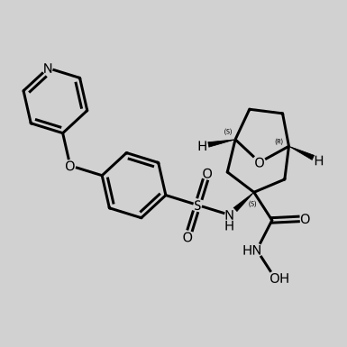 O=C(NO)[C@@]1(NS(=O)(=O)c2ccc(Oc3ccncc3)cc2)C[C@H]2CC[C@@H](C1)O2